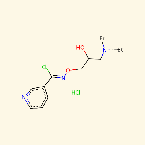 CCN(CC)CC(O)CO/N=C(\Cl)c1cccnc1.Cl